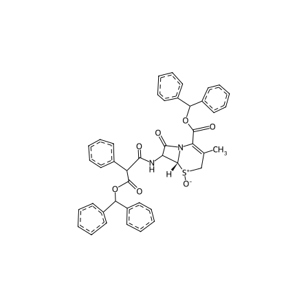 CC1=C(C(=O)OC(c2ccccc2)c2ccccc2)N2C(=O)C(NC(=O)C(C(=O)OC(c3ccccc3)c3ccccc3)c3ccccc3)[C@H]2[S+]([O-])C1